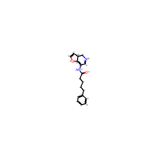 O=C(CCCCc1ccccc1)NC1=C2OC=CC2CN=C1